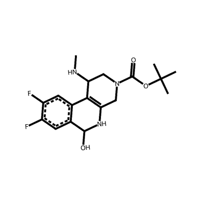 CNC1CN(C(=O)OC(C)(C)C)CC2=C1c1cc(F)c(F)cc1C(O)N2